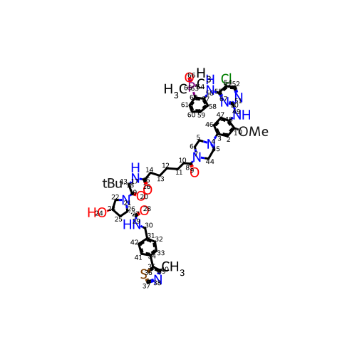 COc1cc(N2CCN(C(=O)CCCCCC(=O)N[C@H](C(=O)N3C[C@H](O)C[C@H]3C(=O)NCc3ccc(-c4scnc4C)cc3)C(C)(C)C)CC2)ccc1Nc1ncc(Cl)c(Nc2ccccc2P(C)(C)=O)n1